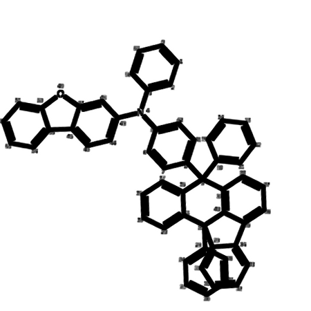 c1ccc(N(c2ccc(C3(c4ccccc4)c4ccccc4C4(c5ccccc5)c5ccccc5-c5cccc3c54)cc2)c2ccc3c(c2)oc2ccccc23)cc1